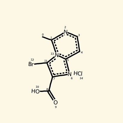 Cc1nccc2nc(C(=O)O)c(Br)n12.Cl